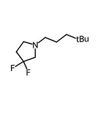 CC(C)(C)CCCN1CCC(F)(F)C1